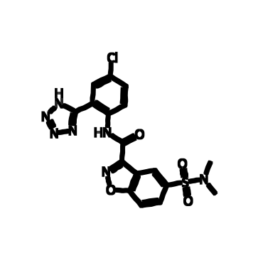 CN(C)S(=O)(=O)c1ccc2onc(C(=O)Nc3ccc(Cl)cc3-c3nnn[nH]3)c2c1